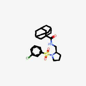 O=C(NCC1CCCN1S(=O)(=O)c1cccc(Cl)c1)C12CC3CC(CC(C3)C1)C2